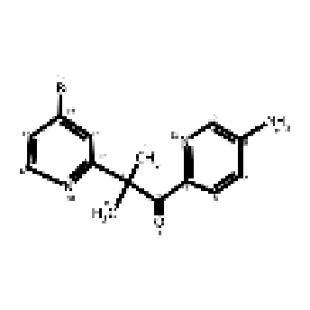 CC(C)(C(=O)c1ccc(N)cn1)c1cc(Br)ccn1